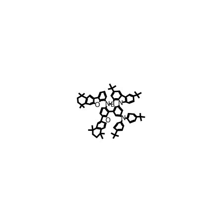 CC(C)(C)c1ccc(N(c2ccc(C(C)(C)C)cc2)c2cc3c4c(c2)-n2c5ccc(C(C)(C)C)cc5c5cc(C(C)(C)C)cc(c52)B4N(c2cccc4c2oc2cc5c(cc24)C(C)(C)CCC5(C)C)c2ccc4c(oc5cc6c(cc54)C(C)(C)CCC6(C)C)c2-3)cc1